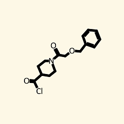 O=C(Cl)C1CCN(C(=O)COCc2ccccc2)CC1